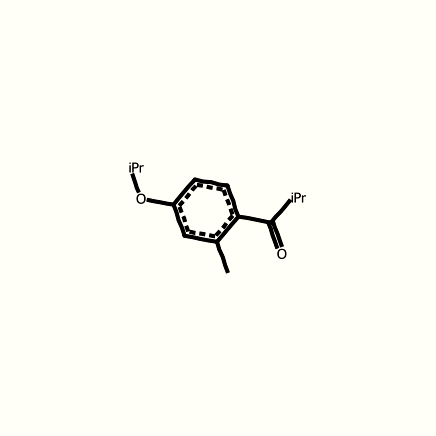 Cc1cc(OC(C)C)ccc1C(=O)C(C)C